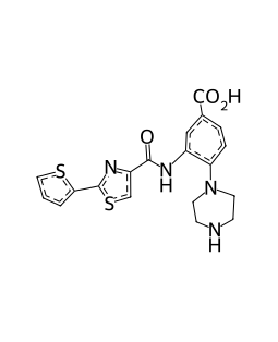 O=C(O)c1ccc(N2CCNCC2)c(NC(=O)c2csc(-c3cccs3)n2)c1